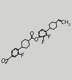 C=CC1CCC(c2ccc(OC(=O)C3CCC(c4ccc(C5CO5)cc4F)CC3)c(F)c2F)CC1